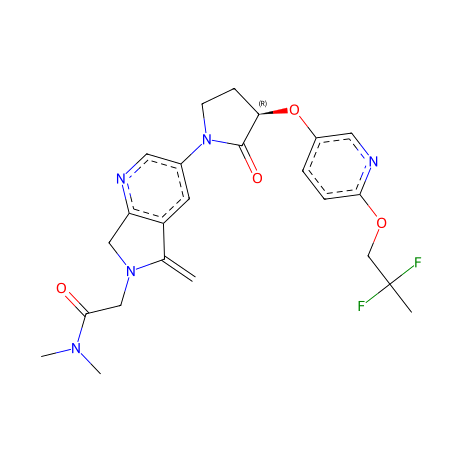 C=C1c2cc(N3CC[C@@H](Oc4ccc(OCC(C)(F)F)nc4)C3=O)cnc2CN1CC(=O)N(C)C